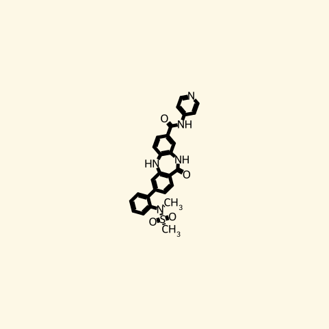 CN(c1ccccc1-c1ccc2c(c1)Nc1ccc(C(=O)Nc3ccncc3)cc1NC2=O)S(C)(=O)=O